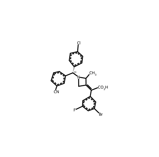 CC1C(=C(C(=O)O)c2cc(F)cc(Br)c2)CN1[C@@H](c1ccc(Cl)cc1)c1cccc(C#N)c1